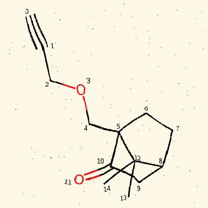 C#CCOCC12CCC(CC1=O)C2(C)C